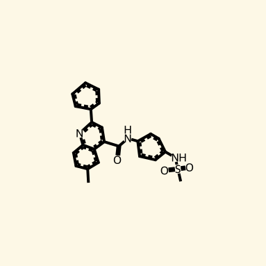 Cc1ccc2nc(-c3ccccc3)cc(C(=O)Nc3ccc(NS(C)(=O)=O)cc3)c2c1